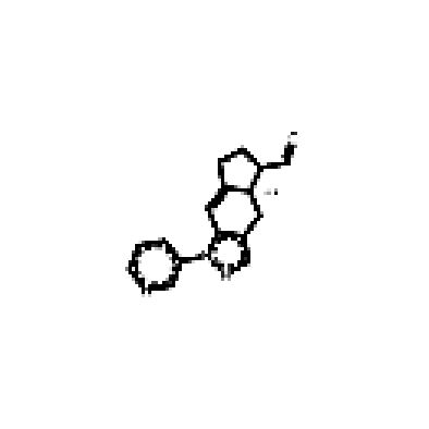 C[C@]12Cc3cnn(-c4cccnc4)c3C=C1CCC2C=O